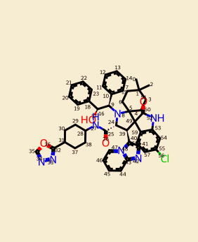 CC1(C)CCC2(CC1)N([C@H](c1ccccc1)[C@@H](O)c1ccccc1)[C@@H](C(=O)NC1CCC(c3nnco3)CC1)[C@H](c1cnc3ccccn13)C21C(=O)Nc2cc(Cl)ccc21